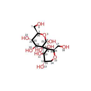 OC[C@H]1O[C@H](O)[C@@](O)([C@@]2(O)[C@H](O)[C@@H](O)CO[C@@H]2CO)[C@@H](O)[C@@H]1O